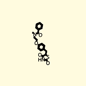 CN(CCOc1ccc(CC2SC(=O)NC2=O)cc1)C(=O)c1ccccc1